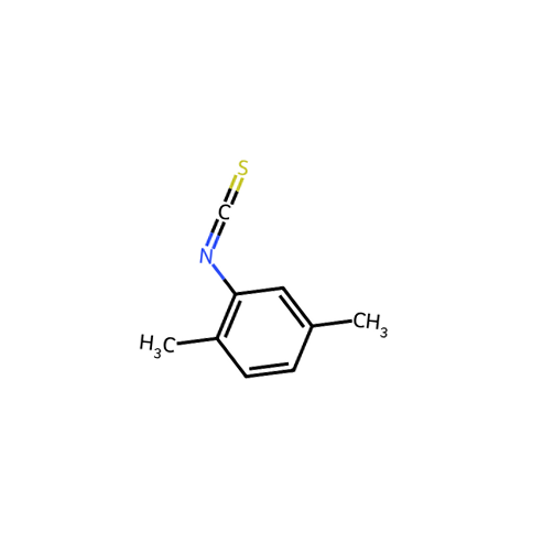 Cc1ccc(C)c(N=C=S)c1